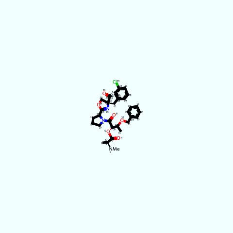 CN[C@@H](C)C(=O)O[C@H](C(=O)N1CCCC1C1=N[C@@](Cc2cccc(Cl)c2)(C(=O)OC)CO1)C(C)OCc1ccccc1